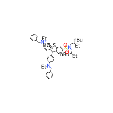 CCCCC(CC)CN(CC(CC)CCCC)S(=O)(=O)c1ccc(C(=C2C=CC(=[N+](CC)Cc3ccccc3)C=C2)c2ccc(N(CC)Cc3ccccc3)cc2)c(S(=O)(=O)O)c1